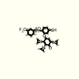 CC(C)c1ccc(S)cc1.O=C1C=C(N2CC2)C(=O)C(N2CC2)=C1N1CC1.O=S(=O)(O)c1cccc(C(F)(F)F)c1